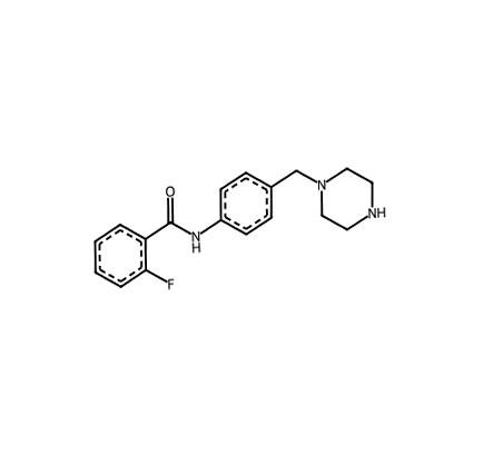 O=C(Nc1ccc(CN2CCNCC2)cc1)c1ccccc1F